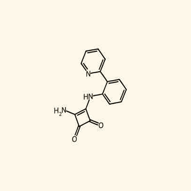 Nc1c(Nc2ccccc2-c2ccccn2)c(=O)c1=O